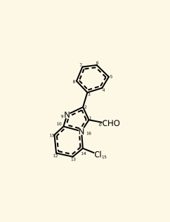 O=Cc1c(-c2ccccc2)nc2cccc(Cl)n12